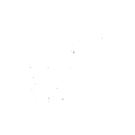 CN1CC(n2cc(Nc3nccc(-c4ccc(CNC(=O)N5CC(OC(C)(C)C)C5)c(C(F)(F)F)c4)n3)cn2)C1